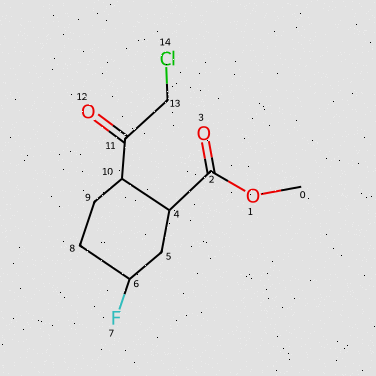 COC(=O)C1CC(F)CCC1C(=O)CCl